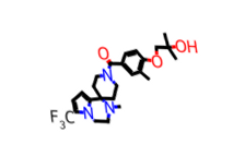 Cc1cc(C(=O)N2CCC3(CC2)c2ccc(C(F)(F)F)n2CCN3C)ccc1OCC(C)(C)O